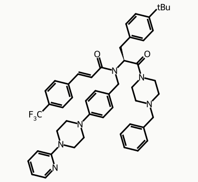 CC(C)(C)c1ccc(C[C@@H](C(=O)N2CCN(Cc3ccccc3)CC2)N(Cc2ccc(N3CCN(c4ccccn4)CC3)cc2)C(=O)/C=C/c2ccc(C(F)(F)F)cc2)cc1